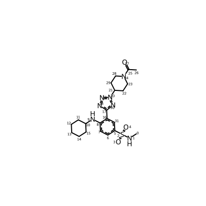 CNS(=O)(=O)c1ccc(NC2CCCCC2)c(-c2nnn(C3CCN(C(C)=O)CC3)n2)c1